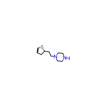 IN1CCN(CCC2CC=CS2)CC1